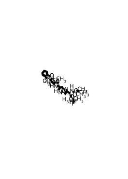 [2H]C([2H])(N[C@H](COC)c1cnn2cc([C@H](COC(C)(C)C(F)(F)F)NC(=O)OC(C)(C)C)nc2c1)C(F)(F)C([2H])([2H])N1C(=O)c2ccccc2C1=O